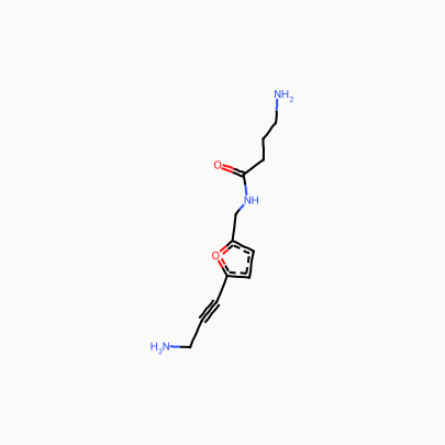 NCC#Cc1ccc(CNC(=O)CCCN)o1